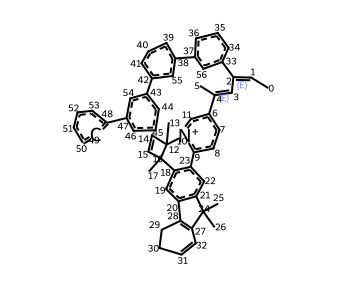 C/C=C(\C=C(/C)c1ccc2[n+](c1)C1(C)C=CC1(C)c1cc3c(cc1-2)C(C)(C)C1=C3CCC=C1)c1cccc(-c2cccc(-c3cccc(-c4ccccc4)c3)c2)c1